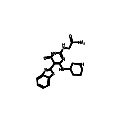 NC(=O)CNc1nc(NC2CCCNC2)c(-c2nc3ccccc3s2)c(=O)[nH]1